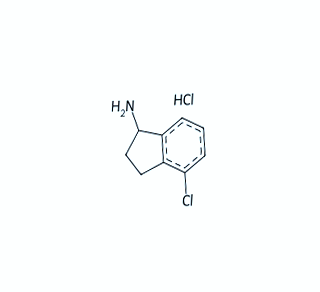 Cl.NC1CCc2c(Cl)cccc21